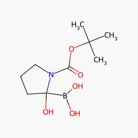 CC(C)(C)OC(=O)N1CCCC1(O)B(O)O